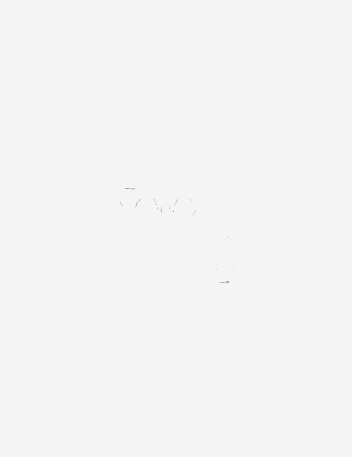 N=C(/C=C\C(=N)c1cc(F)ccc1Cl)NC(=O)C1CC12CCN(CC1CC3C=CC1C3)CC2